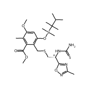 COC(=O)c1c(C)c(OC)cc(O[Si](C)(C)C(C)(C)C(C)C)c1CSC[C@H](NC(N)=S)c1nc(C)no1